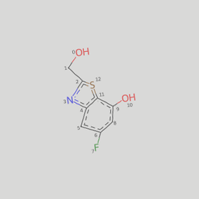 OCc1nc2cc(F)cc(O)c2s1